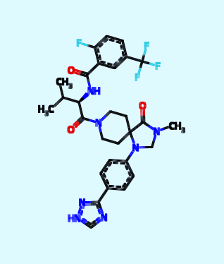 CC(C)[C@@H](NC(=O)c1cc(C(F)(F)F)ccc1F)C(=O)N1CCC2(CC1)C(=O)N(C)CN2c1ccc(-c2nc[nH]n2)cc1